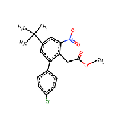 COC(=O)Cc1c(-c2ccc(Cl)cc2)cc(C(C)(C)C)cc1[N+](=O)[O-]